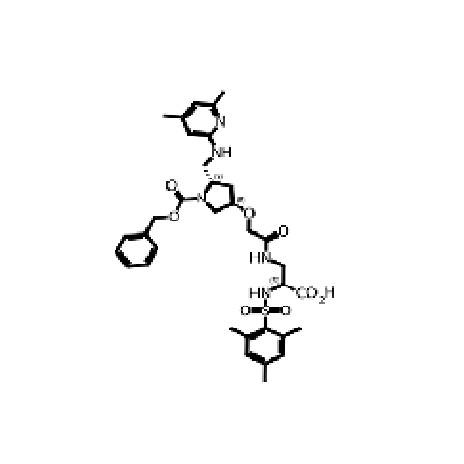 Cc1cc(C)nc(NC[C@@H]2C[C@@H](OCC(=O)NC[C@H](NS(=O)(=O)c3c(C)cc(C)cc3C)C(=O)O)CN2C(=O)OCc2ccccc2)c1